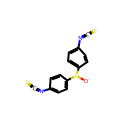 [O-][S+](c1ccc(N=C=S)cc1)c1ccc(N=C=S)cc1